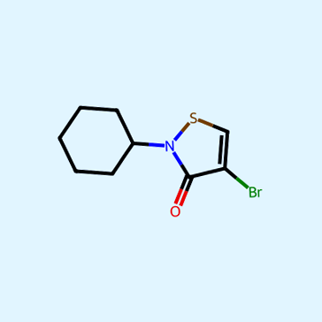 O=c1c(Br)csn1C1CCCCC1